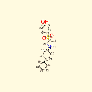 O=S(=O)(c1ccc(O)cc1)C1CCN([C@H]2CC[C@H](c3ccccc3)CC2)C1